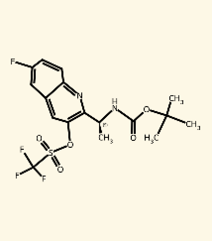 C[C@H](NC(=O)OC(C)(C)C)c1nc2ccc(F)cc2cc1OS(=O)(=O)C(F)(F)F